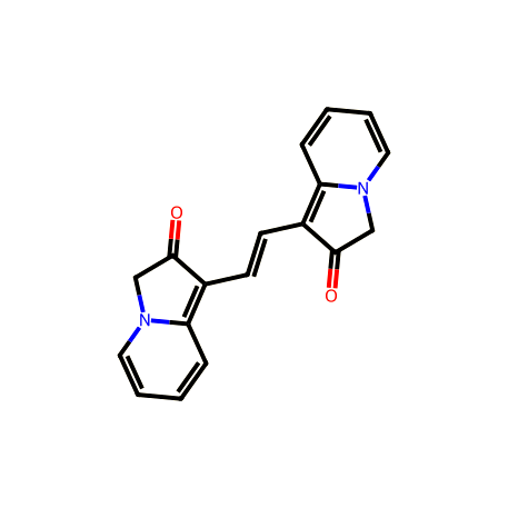 O=C1CN2C=CC=CC2=C1C=CC1=C2C=CC=CN2CC1=O